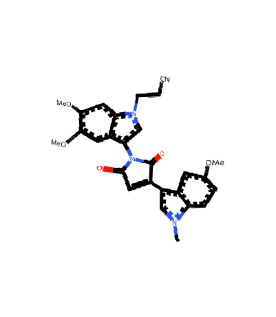 COc1ccc2c(c1)c(C1=CC(=O)N(c3cn(CCC#N)c4cc(OC)c(OC)cc34)C1=O)cn2C